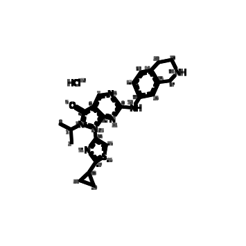 CC(C)n1c(=O)c2cnc(Nc3ccc4c(c3)CNCC4)nc2n1-c1csc(C2CC2)n1.Cl